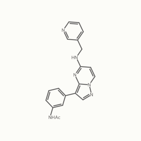 CC(=O)Nc1cccc(-c2cnn3ccc(NCc4cccnc4)nc23)c1